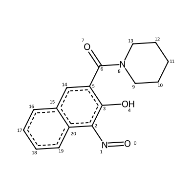 O=Nc1c(O)c(C(=O)N2CCCCC2)cc2ccccc12